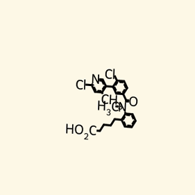 Cc1cc(Cl)ncc1-c1cc(C(=O)N(C)c2ccccc2CCCCC(=O)O)ccc1Cl